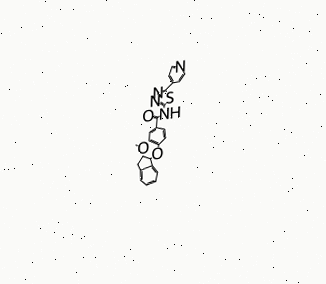 COc1cc(C(=O)Nc2nnc(-c3ccncc3)s2)ccc1O[C@@H]1CCc2ccccc21